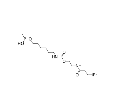 CC(C)CCC(=O)NCCOC(=O)NCCCCCCOP(C)O